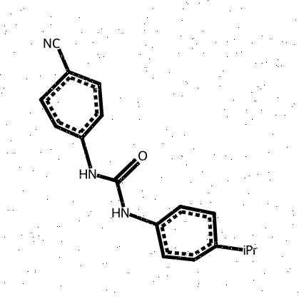 CC(C)c1ccc(NC(=O)Nc2ccc(C#N)cc2)cc1